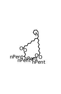 CCCCCC(CCCCC)CCOC(=O)CCCCCCCC(CCCCCCCC(=O)OCCC(CCCCC)CCCCC)CN1CCCCC1